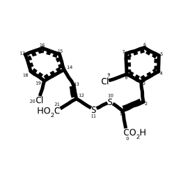 O=C(O)C(=Cc1ccccc1Cl)SSC(=Cc1ccccc1Cl)C(=O)O